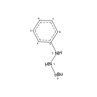 CCCCNNc1ccccc1